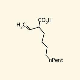 C=CC(CCCCCCCCC)C(=O)O